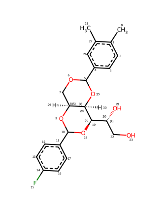 Cc1ccc(C2OC[C@@H]3OC(c4ccc(F)cc4)O[C@H]([C@H](O)CO)[C@@H]3O2)cc1C